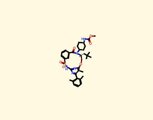 COC(=O)NC1CCC(N2C(=O)c3cccc(c3)S(=O)(=O)Nc3nc(c(C)c(-c4c(C)cccc4C)n3)OC[C@H]2CC(C)(C)C)CC1